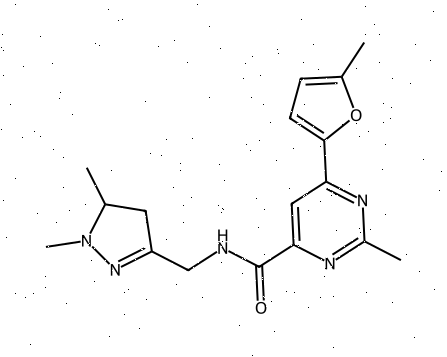 Cc1nc(C(=O)NCC2=NN(C)C(C)C2)cc(-c2ccc(C)o2)n1